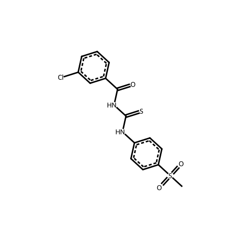 CS(=O)(=O)c1ccc(NC(=S)NC(=O)c2cccc(Cl)c2)cc1